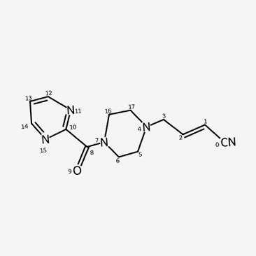 N#CC=CCN1CCN(C(=O)c2ncccn2)CC1